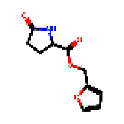 O=C1CCC(C(=O)OCc2ccco2)N1